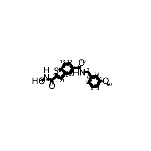 COc1cccc(CNC(=O)c2ccc3sc(C(=O)NO)cc3c2)c1